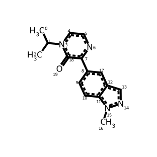 CC(C)n1ccnc(-c2ccc3c(cnn3C)c2)c1=O